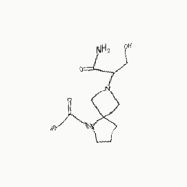 CC(C)C(=O)N1CCCC12CN(C(CO)C(N)=O)C2